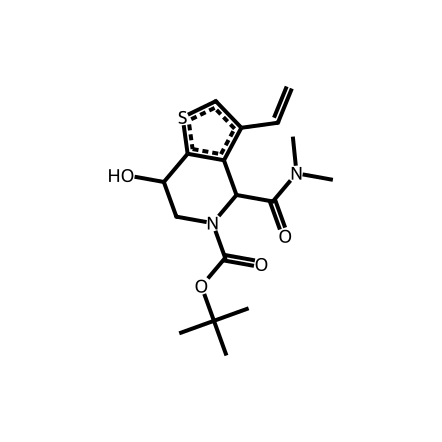 C=Cc1csc2c1C(C(=O)N(C)C)N(C(=O)OC(C)(C)C)CC2O